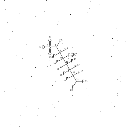 O=S(=O)([O-])C(F)C(F)(F)C(F)(F)C(F)(F)C(F)(F)C(F)(F)C(F)F.[K+]